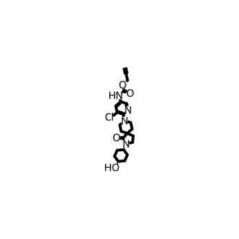 C#CCOC(=O)Nc1cnc(N2CCC3(CC2)CCN([C@H]2CC[C@@H](O)CC2)C3=O)c(Cl)c1